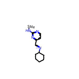 CSNc1nccc(/C=N/C2CCCCC2)n1